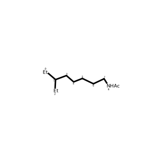 CCC(CC)CCCCCNC(C)=O